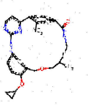 CC1CCNC(=O)c2ccc(c([N+](=O)[O-])c2)-c2ccnc(n2)Nc2ccc(OC3CC3)c(c2)COC1